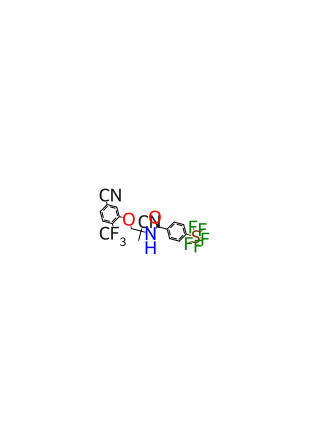 CC(C#N)(COc1cc(C#N)ccc1C(F)(F)F)NC(=O)c1ccc(S(F)(F)(F)(F)F)cc1